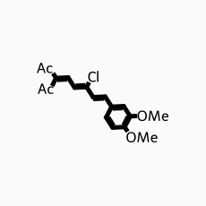 COc1ccc(/C=C/C(Cl)=C/C=C(C(C)=O)C(C)=O)cc1OC